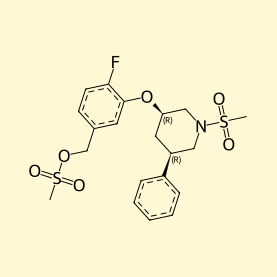 CS(=O)(=O)OCc1ccc(F)c(O[C@@H]2C[C@H](c3ccccc3)CN(S(C)(=O)=O)C2)c1